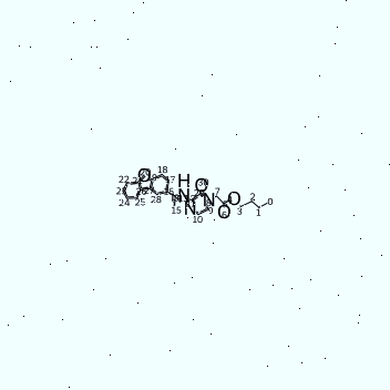 CCCCOC(=O)Cn1ccnc(N[C@@H](C)c2ccc3oc4ccccc4c3c2)c1=O